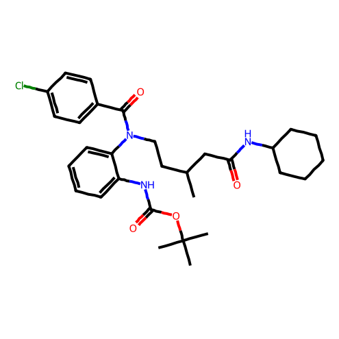 CC(CCN(C(=O)c1ccc(Cl)cc1)c1ccccc1NC(=O)OC(C)(C)C)CC(=O)NC1CCCCC1